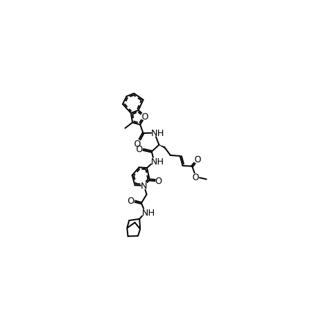 COC(=O)/C=C/CC[C@H](NC(=O)c1oc2ccccc2c1C)C(=O)Nc1cccn(CC(=O)NC2CC3CCC2C3)c1=O